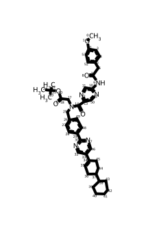 COc1ccc(CC(=O)Nc2cnc(C(=O)N(CC(=O)OC(C)(C)C)Cc3ccc(-c4ncc(C5=CCC(C6CCCCC6)CC5)cn4)cc3)cn2)cc1